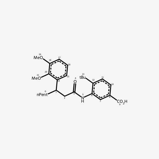 CCCCCC(CC(=O)Nc1cc(C(=O)O)ccc1C(C)(C)C)c1cccc(OC)c1OC